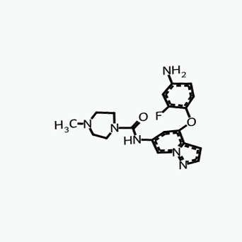 CN1CCN(C(=O)Nc2cc(Oc3ccc(N)cc3F)c3ccnn3c2)CC1